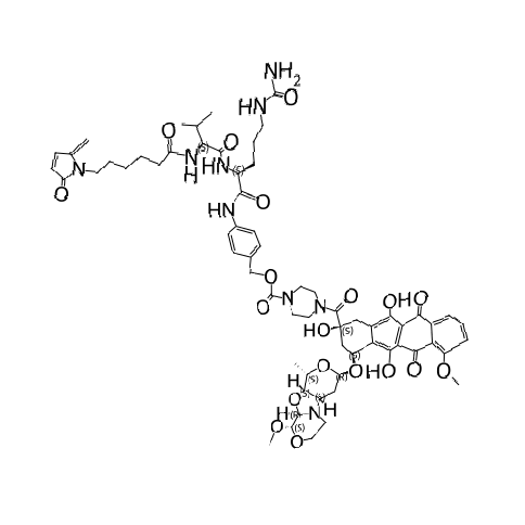 C=C1C=CC(=O)N1CCCCCC(=O)N[C@H](C(=O)N[C@@H](CCCNC(N)=O)C(=O)Nc1ccc(COC(=O)N2CCN(C(=O)[C@]3(O)Cc4c(O)c5c(c(O)c4[C@@H](O[C@H]4C[C@H]6[C@H](O[C@@H]7[C@@H](OC)OCCN76)[C@H](C)O4)C3)C(=O)c3c(OC)cccc3C5=O)CC2)cc1)C(C)C